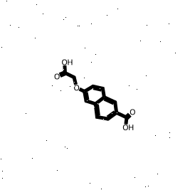 O=C(O)COc1ccc2cc(C(=O)O)ccc2c1